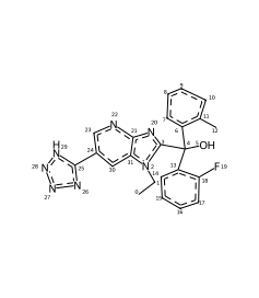 CCn1c(C(O)(c2ccccc2C)c2ccccc2F)nc2ncc(-c3nnn[nH]3)cc21